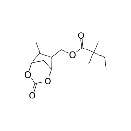 CCC(C)(C)C(=O)OCC1C2CC(OC(=O)O2)C1C